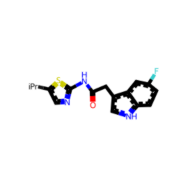 CC(C)c1cnc(NC(=O)Cc2c[nH]c3ccc(F)cc23)s1